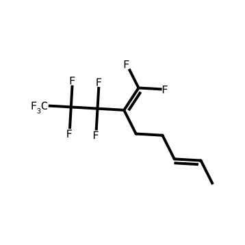 CC=CCCC(=C(F)F)C(F)(F)C(F)(F)C(F)(F)F